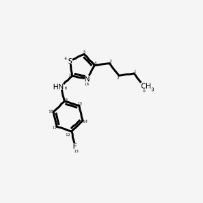 CCCCc1csc(Nc2ccc(F)cc2)n1